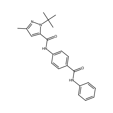 Cc1cc(C(=O)Nc2ccc(C(=O)Nc3ccccc3)cc2)n(C(C)(C)C)n1